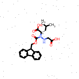 CC(C)C[C@@H](C(=O)O)N(NCC(=O)O)C(=O)OCC1c2ccccc2-c2ccccc21